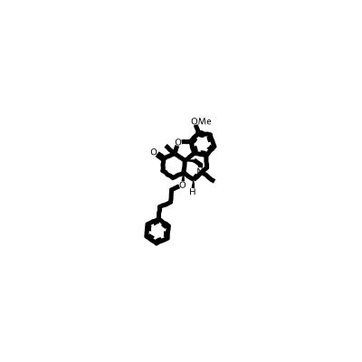 COc1ccc2c3c1OC1(C)C(=O)CC[C@@]4(OCCCc5ccccc5)[C@@H](C2)N(C)CC[C@]314